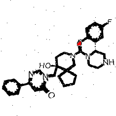 O=C(N1CC[C@@](O)(Cn2cnc(-c3ccccc3)cc2=O)C2(CCCC2)C1)N1CCNC[C@H]1c1cc(F)ccc1F